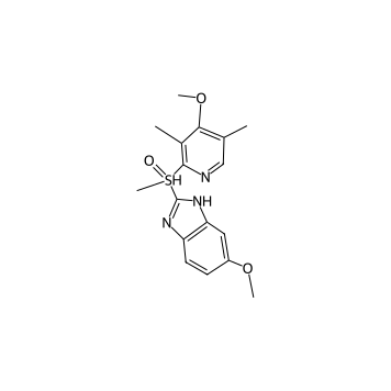 COc1ccc2nc([SH](C)(=O)c3ncc(C)c(OC)c3C)[nH]c2c1